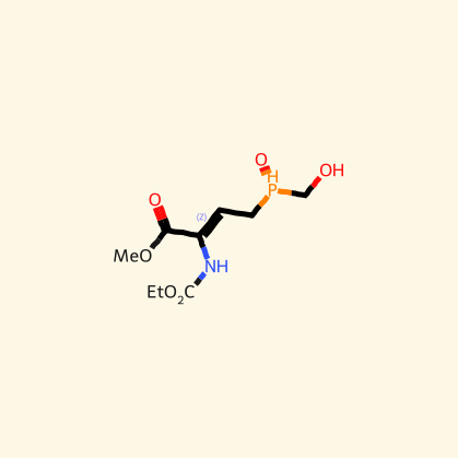 CCOC(=O)N/C(=C\C[PH](=O)CO)C(=O)OC